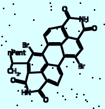 CCCCCC(C)c1c2c3c(ccc4c5c(Br)cc6c7c(ccc(c(c1Br)c34)c75)C(=O)NC6=O)C(=O)NC2=O